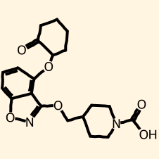 O=C1CCCCC1Oc1cccc2onc(OCC3CCN(C(=O)O)CC3)c12